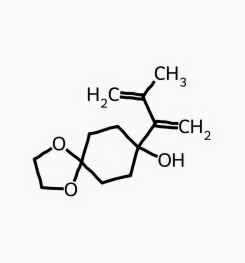 C=C(C)C(=C)C1(O)CCC2(CC1)OCCO2